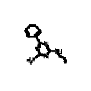 C=CCNc1nc(N)nc(-c2ccccc2)n1